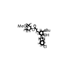 CON1C(C)(C)CC(OC(=O)CCc2cc(-n3nc4ccc(Cl)cc4n3)c(O)c(C(C)(C)C)c2)CC1(C)C